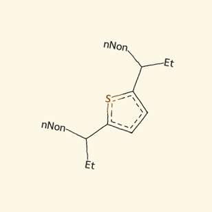 CCCCCCCCCC(CC)c1ccc(C(CC)CCCCCCCCC)s1